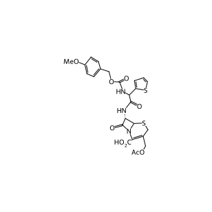 COc1ccc(COC(=O)NC(C(=O)N[C@H]2C(=O)N3C(C(=O)O)=C(COC(C)=O)CSC23)c2cccs2)cc1